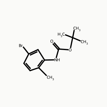 Cc1ccc(Br)cc1NC(=O)OC(C)(C)C